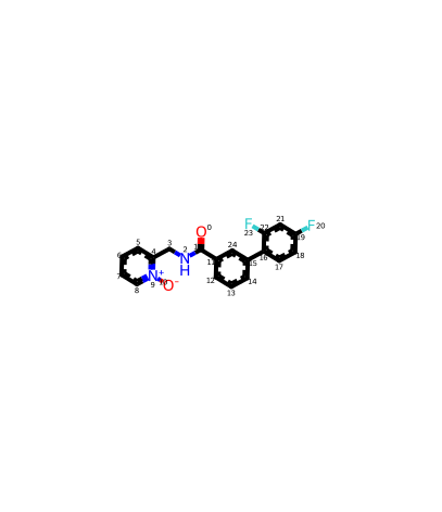 O=C(NCc1cccc[n+]1[O-])c1cccc(-c2ccc(F)cc2F)c1